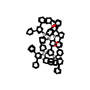 c1ccc(-c2cc(-c3ccccc3)cc(N3c4ccccc4B4c5cc(-c6cc([Si](c7ccccc7)(c7ccccc7)c7cccc(-c8ccccc8)c7)cc([Si](c7ccccc7)(c7cccc(-c8ccccc8)c7)c7cc(-c8ccccc8)cc(-c8ccccc8)c7)c6)ccc5N(c5c(-c6ccccc6)cccc5-c5ccccc5)c5cc(-n6c7ccccc7c7ccccc76)cc3c54)c2)cc1